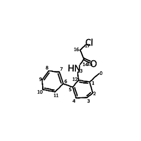 Cc1cccc(-c2ccccc2)c1NC(=O)CCl